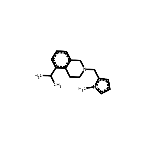 CC(C)c1cccc2c1CCN(Cc1cccn1C)C2